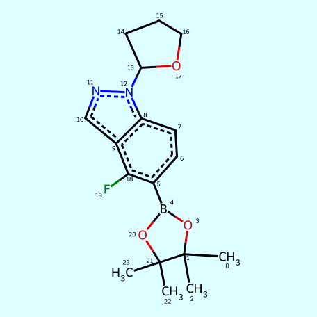 CC1(C)OB(c2ccc3c(cnn3C3CCCO3)c2F)OC1(C)C